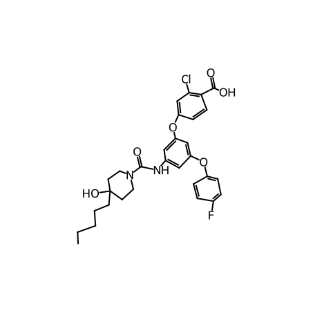 CCCCCC1(O)CCN(C(=O)Nc2cc(Oc3ccc(F)cc3)cc(Oc3ccc(C(=O)O)c(Cl)c3)c2)CC1